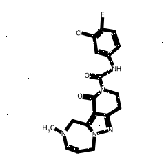 CN1C=CCn2nc3c(c2C1)C(=O)N(C(=O)Nc1ccc(F)c(Cl)c1)CC3